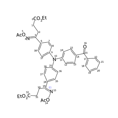 CCOC(=O)CCC(=NOC(C)=O)c1ccc(N(c2ccc(C(=O)c3ccccc3)cc2)c2ccc(/C(CCC(=O)OCC)=N/OC(C)=O)cc2)cc1